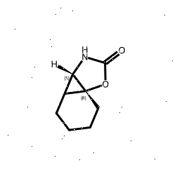 O=C1N[C@H]2C3CCCC[C@@]32O1